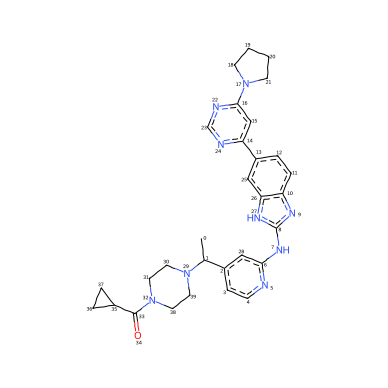 CC(c1ccnc(Nc2nc3ccc(-c4cc(N5CCCC5)ncn4)cc3[nH]2)c1)N1CCN(C(=O)C2CC2)CC1